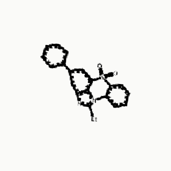 CCc1nc2cc(-c3ccccc3)cc3c2n1-c1ccccc1S3(=O)=O